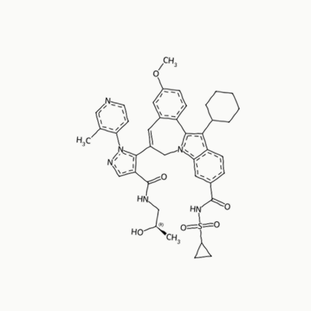 COc1ccc2c(c1)C=C(c1c(C(=O)NC[C@@H](C)O)cnn1-c1ccncc1C)Cn1c-2c(C2CCCCC2)c2ccc(C(=O)NS(=O)(=O)C3CC3)cc21